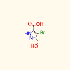 O=C(O)c1[nH]nc(CO)c1Br